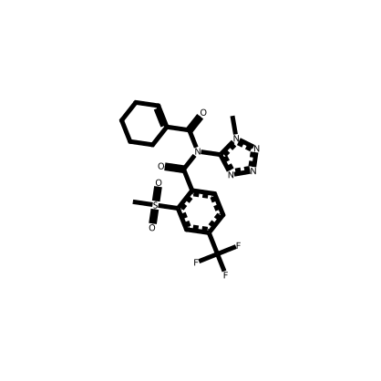 Cn1nnnc1N(C(=O)C1=CCCCC1)C(=O)c1ccc(C(F)(F)F)cc1S(C)(=O)=O